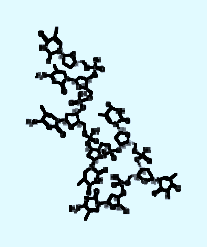 CC[C@H]1O[C@@H](n2cc(C)c(N)nc2=O)C[C@H]1OP(=O)(S)OC[C@H]1O[C@@H](n2cc(C)c(=O)[nH]c2=O)C[C@H]1OP(=O)(S)OC[C@H]1O[C@@H](n2cc(C)c(=O)[nH]c2=O)C[C@H]1OP(=O)(S)OC[C@H]1O[C@@H](n2cc(C)c(=O)[nH]c2=O)C[C@H]1OP(=O)(S)OC[C@H]1O[C@@H](n2cc(C)c(N)nc2=O)C[C@H]1OP(=O)(S)OC[C@H]1O[C@@H](n2cc(C)c(N)nc2=O)C[C@H]1OP(=O)(S)OC[C@@H]1CC[C@H](n2cc(C)c(=O)[nH]c2=O)O1